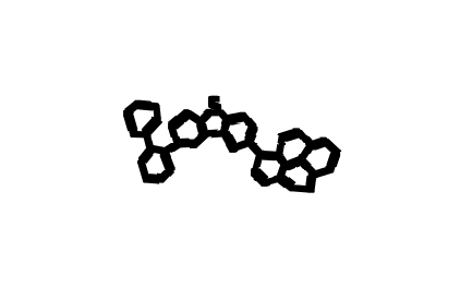 c1ccc(-c2ccccc2-c2ccc3sc4ccc(-c5ccc6ccc7cccc8ccc5c6c78)cc4c3c2)cc1